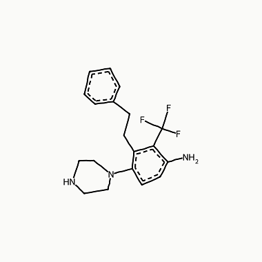 Nc1ccc(N2CCNCC2)c(CCc2ccccc2)c1C(F)(F)F